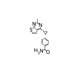 Cc1nc([C@H]2C[C@@H]2c2ccc(C(N)=O)cc2)c2ccsc2n1